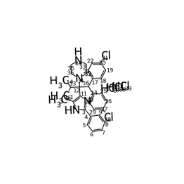 Cc1[nH]c(-c2ccccc2)nc1C(C(C)C)(C(c1ccc(Cl)cc1)c1ccc(Cl)cc1)N1CCNCC1.Cl.Cl.Cl